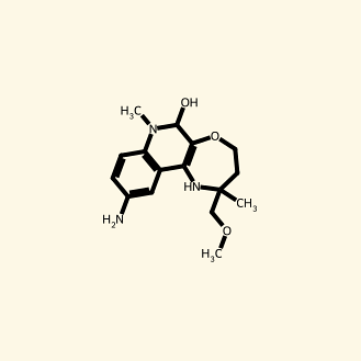 COCC1(C)CCOC2=C(N1)c1cc(N)ccc1N(C)C2O